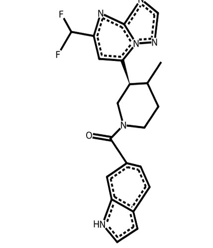 CC1CCN(C(=O)c2ccc3cc[nH]c3c2)C[C@H]1c1cc(C(F)F)nc2ncnn12